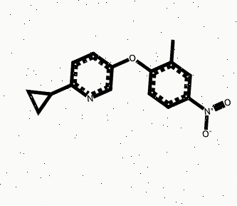 Cc1cc([N+](=O)[O-])ccc1Oc1ccc(C2CC2)nc1